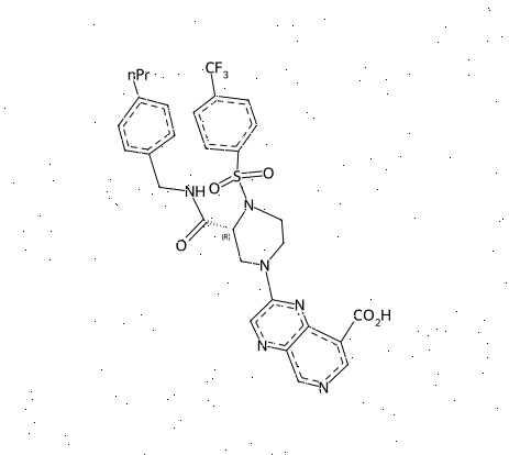 CCCc1ccc(CNC(=O)[C@H]2CN(c3cnc4cncc(C(=O)O)c4n3)CCN2S(=O)(=O)c2ccc(C(F)(F)F)cc2)cc1